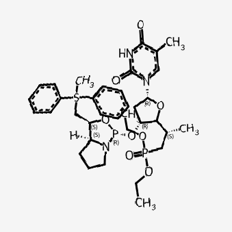 CCOP(=O)(C[C@@H](C)C1O[C@@H](n2cc(C)c(=O)[nH]c2=O)C[C@H]1O[P@@]1O[C@H](CS(C)(c2ccccc2)c2ccccc2)[C@@H]2CCCN21)OCC